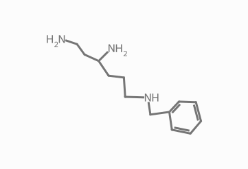 NCCC(N)CCCNCc1ccccc1